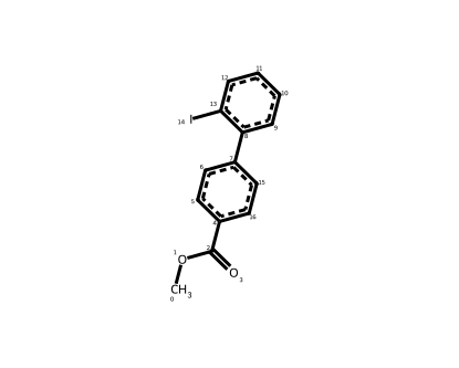 COC(=O)c1ccc(-c2ccccc2I)cc1